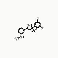 NNc1cccc(C2=NOC(c3cc(Cl)cc(Cl)c3)(C(F)(F)F)C2)c1